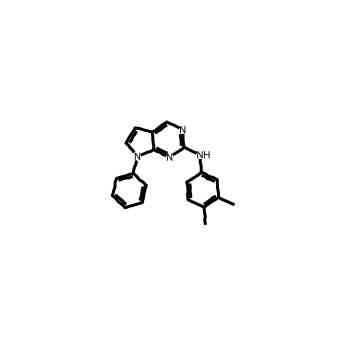 Cc1ccc(Nc2ncc3ccn(-c4ccccc4)c3n2)cc1C